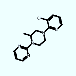 CC1CN(c2ncccc2Cl)CCN1c1ncccn1